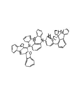 CC1(C)c2ccccc2-c2cccc(-c3ccc(N4c5ccccc5B5c6ccccc6N(c6c7oc8ccccc8c7cc7c6oc6ccccc67)c6cccc4c65)cc3)c21